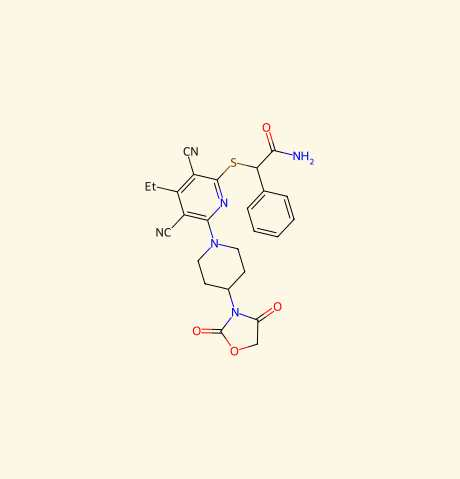 CCc1c(C#N)c(SC(C(N)=O)c2ccccc2)nc(N2CCC(N3C(=O)COC3=O)CC2)c1C#N